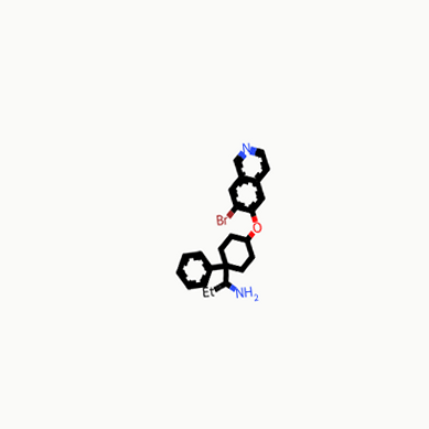 CCC(N)C1(c2ccccc2)CCC(Oc2cc3ccncc3cc2Br)CC1